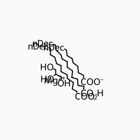 CCCCCCCCCCCCCCCCCC(=O)[O-].CCCCCCCCCCCCCCCCCCCCCC(=O)O.CCCCCCCCCCCCCCCCCCCCCC(=O)[O-].OCC(O)CO.[Mg+2]